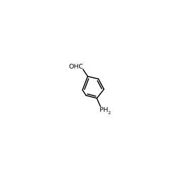 O=Cc1ccc(P)cc1